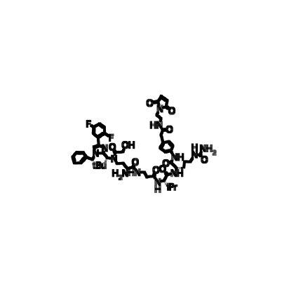 CC(C)[C@H](NC(=O)CCNC(=O)[C@@H](N)CCN(C(=O)CO)[C@@H](c1nc(-c2cc(F)ccc2F)cn1Cc1ccccc1)C(C)(C)C)C(=O)N[C@@H](CCCNC(N)=O)C(=O)Nc1ccc(CC(=O)NCCN2C(=O)C=CC2=O)cc1